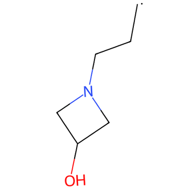 [CH2]CCN1CC(O)C1